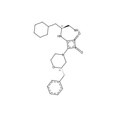 NC[C@H](CC1CCCCC1)Nc1c(N2CCO[C@@H](Cc3ccccc3)C2)c(=O)c1=O